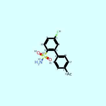 CC(=O)c1ccc(-c2cc(F)ccc2S(N)(=O)=O)cc1